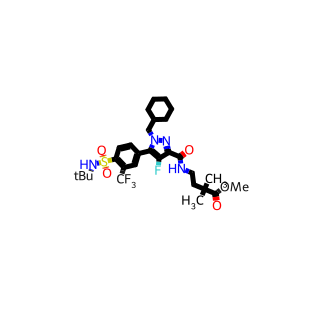 COC(=O)C(C)(C)CCNC(=O)c1nn(CC2CCCCC2)c(-c2ccc(S(=O)(=O)NC(C)(C)C)c(C(F)(F)F)c2)c1F